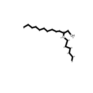 CCCCCCCCCCC(CO)OCCCCCC